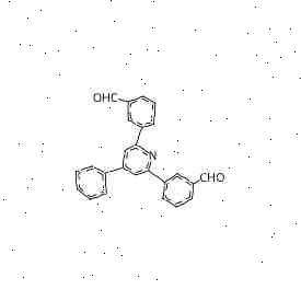 O=Cc1cccc(-c2cc(-c3ccccc3)cc(-c3cccc(C=O)c3)n2)c1